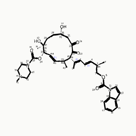 C/C(=C\C=C\[C@@H](C)COC(=O)n1ccc2ccccc21)[C@H]1C(=O)C(=O)C[C@@H](O)CC[C@](C)(O)[C@@H](OC(=O)N2CCN(C)CC2)/C=C/[C@@H]1C